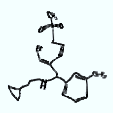 CC/C=C(\C=C/CS(C)(=O)=O)C(NCC1CC1)c1cccc(C)c1